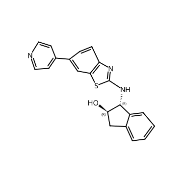 O[C@@H]1Cc2ccccc2[C@H]1Nc1nc2ccc(-c3ccncc3)cc2s1